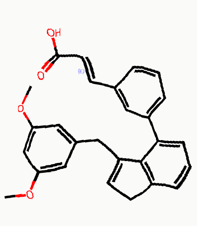 COc1cc(CC2=CCc3cccc(-c4cccc(/C=C/C(=O)O)c4)c32)cc(OC)c1